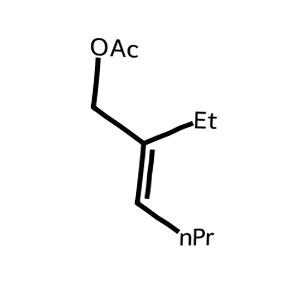 CCC/C=C(\CC)COC(C)=O